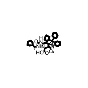 COc1nn(C(c2ccccc2)(c2ccccc2)c2ccccc2)c2cc(NC(=O)N[C@H](C)c3ccccc3)nc(C(=O)O)c12